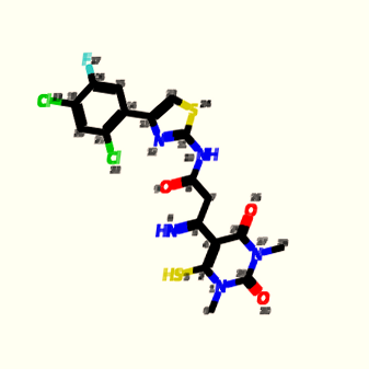 Cn1c(S)c(C(=N)CC(=O)Nc2nc(-c3cc(F)c(Cl)cc3Cl)cs2)c(=O)n(C)c1=O